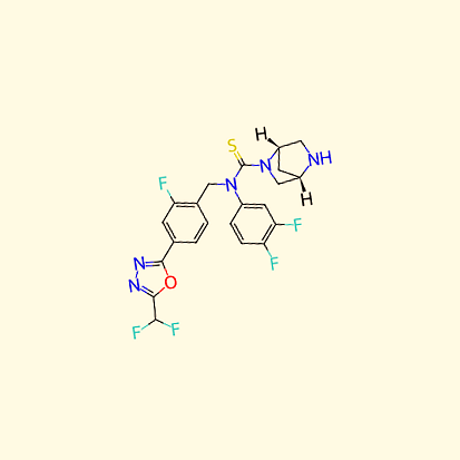 Fc1ccc(N(Cc2ccc(-c3nnc(C(F)F)o3)cc2F)C(=S)N2C[C@@H]3C[C@H]2CN3)cc1F